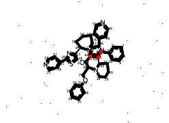 O=C(C(COc1ccccc1)N1CCCC[C@@H]1c1csc(-c2ccncc2)n1)C(COc1ccccc1)N1CCCC[C@@H]1c1csc(-c2ccncc2)n1